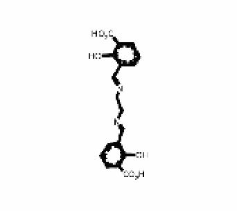 O=C(O)c1cccc(/C=N/CC/N=C/c2cccc(C(=O)O)c2O)c1O